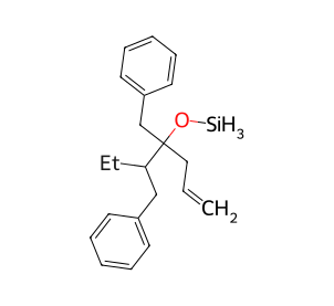 C=CCC(Cc1ccccc1)(O[SiH3])C(CC)Cc1ccccc1